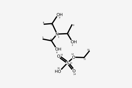 CC(O)N(C(C)O)C(C)O.CCOS(=O)(=O)O